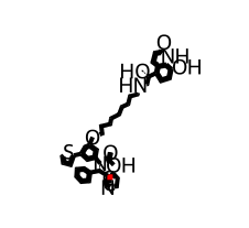 O=C(O)N(c1cc(OCCCCCCCCCNC[C@H](O)c2ccc(O)c3[nH]c(=O)ccc23)cc(-c2cccs2)c1)[C@@H](c1ccccc1)C1CN2CCC1CC2